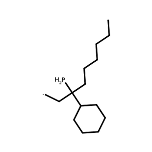 [CH2]CC(P)(CCCCCC)C1CCCCC1